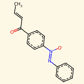 CC=CC(=O)c1ccc([N+]([O-])=Nc2ccccc2)cc1